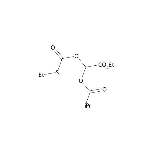 CCOC(=O)C(OC(=O)SCC)OC(=O)C(C)C